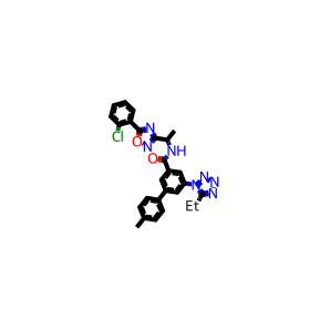 CCc1nnnn1-c1cc(C(=O)NC(C)c2noc(-c3ccccc3Cl)n2)cc(-c2ccc(C)cc2)c1